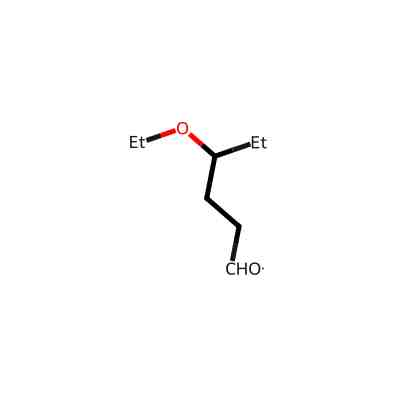 CCOC(CC)CC[C]=O